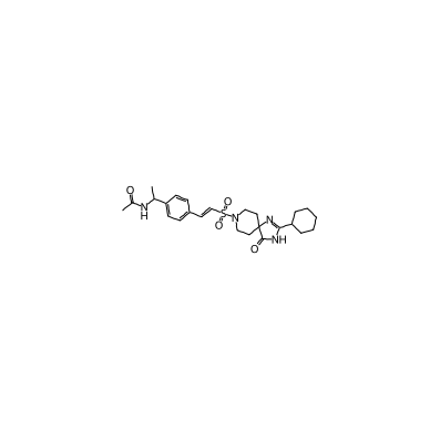 CC(=O)NC(C)c1ccc(/C=C/S(=O)(=O)N2CCC3(CC2)N=C(C2CCCCC2)NC3=O)cc1